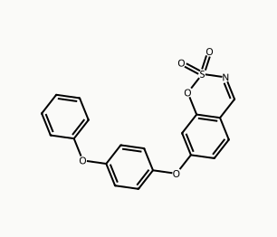 O=S1(=O)N=Cc2ccc(Oc3ccc(Oc4ccccc4)cc3)cc2O1